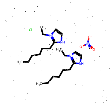 CCCCCCc1[nH]cc[n+]1CC.CCCCCCc1[nH]cc[n+]1CC.O=[N+]([O-])[O-].[Cl-]